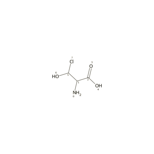 NC(C(=O)O)C(O)Cl